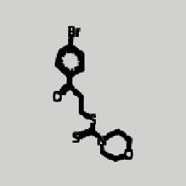 O=C(CCSC(=S)N1CCOCC1)c1ccc(Br)cc1